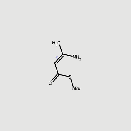 CCCCSC(=O)/C=C(/C)N